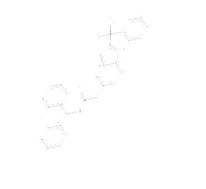 Cc1cnccc1C(NC(=O)Cc1ccc2oc(C(C)(O)c3ccncc3)cc2c1)c1ccccc1